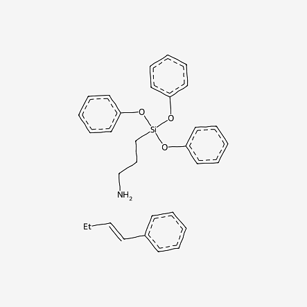 CCC=Cc1ccccc1.NCCC[Si](Oc1ccccc1)(Oc1ccccc1)Oc1ccccc1